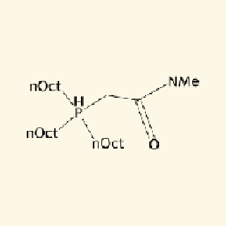 CCCCCCCC[PH](CCCCCCCC)(CCCCCCCC)CC(=O)NC